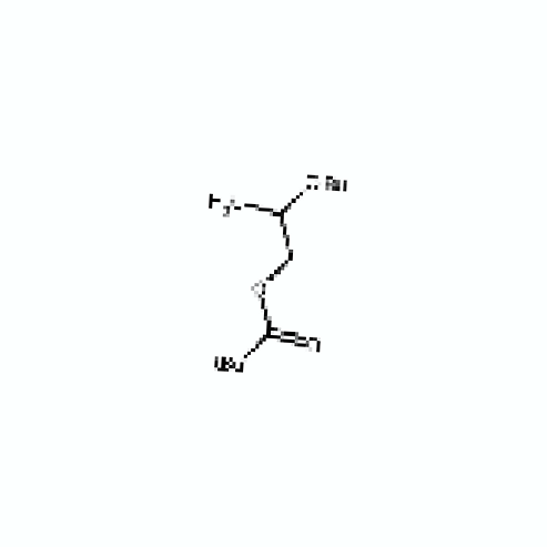 CC(C)COC(C)COC(=O)C(C)(C)C